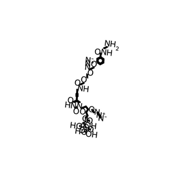 [N-]=[N+]=NCOC1CC(n2cc(C#CCNC(=O)COCCOC(COc3cccc(C(=O)NCCN)c3)N=[N+]=[N-])c(=O)[nH]c2=O)OC1COP(=O)(O)CP(=O)(O)OP(=O)(O)O